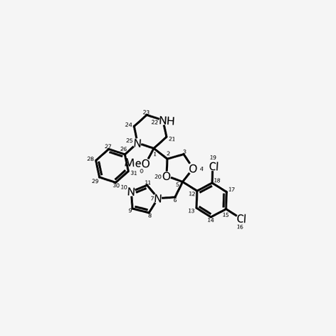 COC1(C2COC(Cn3ccnc3)(c3ccc(Cl)cc3Cl)O2)CNCCN1c1ccccc1